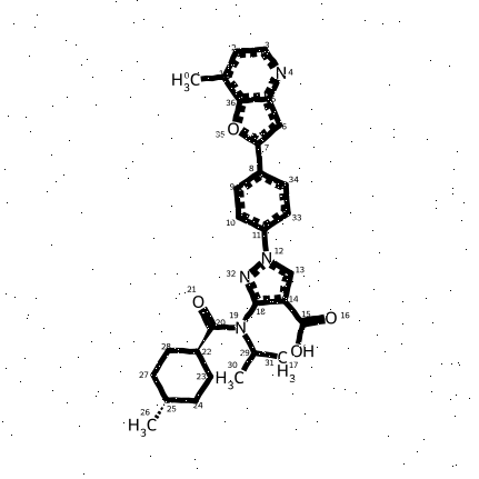 Cc1ccnc2cc(-c3ccc(-n4cc(C(=O)O)c(N(C(=O)[C@H]5CC[C@H](C)CC5)C(C)C)n4)cc3)oc12